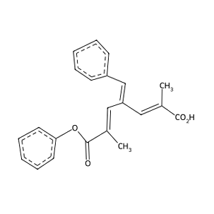 CC(=CC(=Cc1ccccc1)C=C(C)C(=O)Oc1ccccc1)C(=O)O